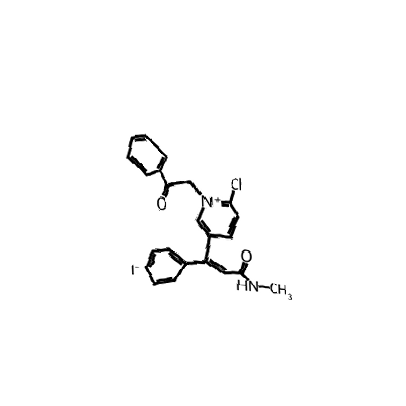 CNC(=O)/C=C(/c1ccccc1)c1ccc(Cl)[n+](CC(=O)c2ccccc2)c1.[I-]